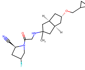 CC1(NCC(=O)N2C[C@@H](F)C[C@H]2C#N)C[C@H]2C[C@H](OCC3CC3)C[C@H]2C1